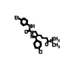 CCc1ccc(NC(=O)N2CC(CCCC(=O)N(C)C)C(c3ccc(Cl)cc3)=N2)cc1